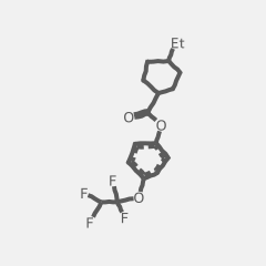 CCC1CCC(C(=O)Oc2ccc(OC(F)(F)C(F)F)cc2)CC1